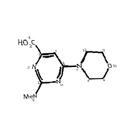 CNc1nc(C(=O)O)cc(N2CCOCC2)n1